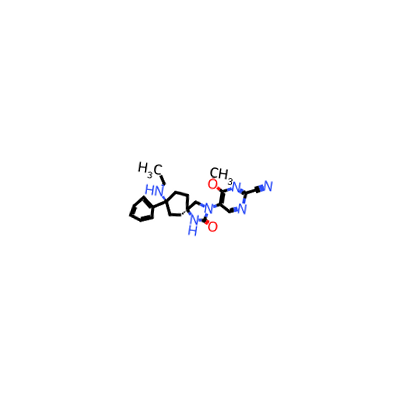 CCN[C@]1(c2ccccc2)CC[C@]2(CC1)CN(c1cnc(C#N)nc1OC)C(=O)N2